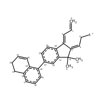 C=C/C=C1\C(=C/CI)C(C)(C)c2cc(-c3cccc4c3C=CCC4)ccc21